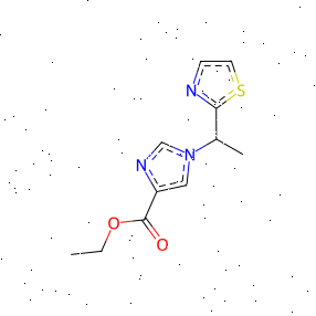 CCOC(=O)c1cn(C(C)c2nccs2)cn1